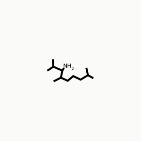 CC(C)CCCC(C)C(N)C(C)C